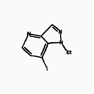 CCn1ncc2nccc(I)c21